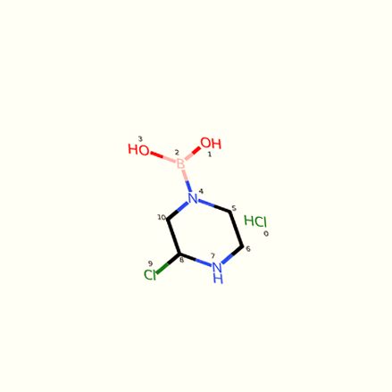 Cl.OB(O)N1CCNC(Cl)C1